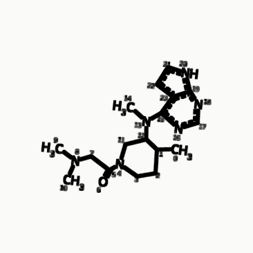 CC1CCN(C(=O)CN(C)C)CC1N(C)c1ncnc2[nH]ccc12